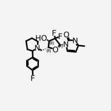 Cc1ccn([C@@H]2O[C@H](CN3CCCCC3c3ccc(F)cc3)[C@@H](O)C2(F)F)c(=O)n1